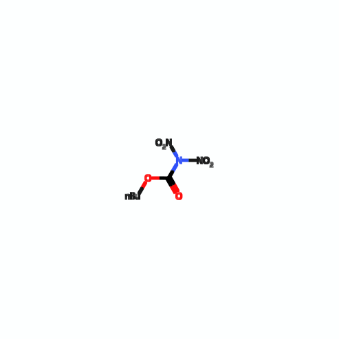 CCCCOC(=O)N([N+](=O)[O-])[N+](=O)[O-]